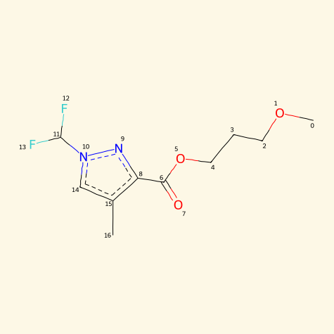 COCCCOC(=O)c1nn(C(F)F)cc1C